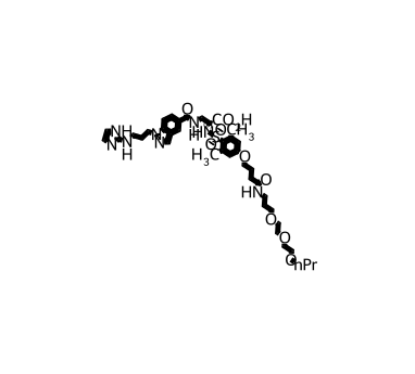 CCCOCCOCCOCCCNC(=O)CCCOc1cc(C)c(S(=O)(=O)N[C@@H](CNC(=O)c2ccc3c(cnn3CCCNc3ncc[nH]3)c2)C(=O)O)c(C)c1